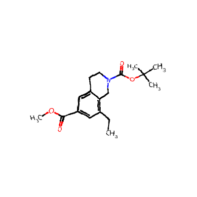 CCc1cc(C(=O)OC)cc2c1CN(C(=O)OC(C)(C)C)CC2